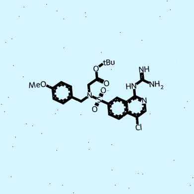 COc1ccc(CN(CC(=O)OC(C)(C)C)S(=O)(=O)c2ccc3c(Cl)cnc(NC(=N)N)c3c2)cc1